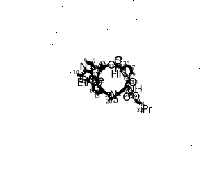 CCn1c(-c2cccnc2[C@H](C)OC)c2c3cc(ccc31)-c1csc(n1)C[C@H](NC(=O)OCCC(C)C)C(=O)N1CCC[C@H](N1)C(=O)OCC(C)(C)C2